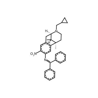 C[C@@H]1[C@H]2Cc3cc([N+](=O)[O-])c(N=C(c4ccccc4)c4ccccc4)cc3[C@]1(C)CCN2CC1CC1